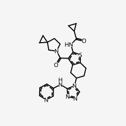 O=C(Nc1sc2c(c1C(=O)N1CCC3(CC3)C1)CC(n1cnnc1Nc1cccnc1)CC2)C1CC1